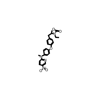 CCN1C(=O)OCC1Cc1ccc(Oc2ccc(N(C)c3ccc([N+](=O)[O-])cn3)cc2)cc1